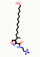 CC(CCCCCCCCCCCCO)c1conc1C(=O)NCC[N+](C)(C)C